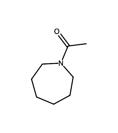 CC(=O)N1CCCCCC1